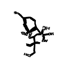 CC(C)(C)c1ccc(P(O)(O)(O)C(O)C(C)(C)CO)c(C(C)(C)C)c1